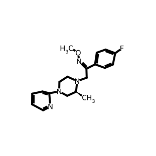 CON=C(CN1CCN(c2ccccn2)C[C@@H]1C)c1ccc(F)cc1